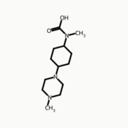 CN1CCN(C2CCC(N(C)C(=O)O)CC2)CC1